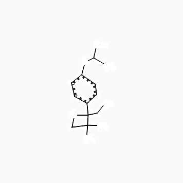 COC(C)Oc1ccc(C2(CC(C)(C)C)NCC2(C)C)cc1